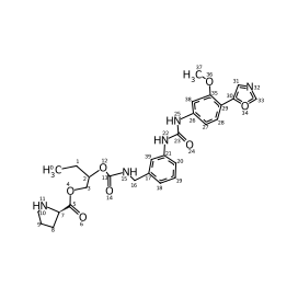 CCC(COC(=O)[C@H]1CCCN1)OC(=O)NCc1cccc(NC(=O)Nc2ccc(-c3cnco3)c(OC)c2)c1